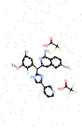 CCOc1cc(CC)cc(C(c2cc3cc(N)ccc3c(N)n2)c2nc(-c3cccnc3)c[nH]2)c1F.O=C(O)C(F)(F)F.O=C(O)C(F)(F)F